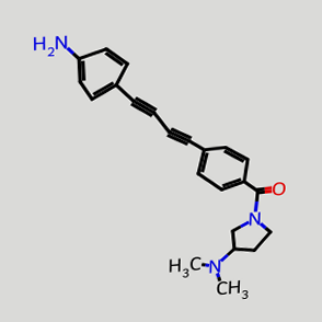 CN(C)C1CCN(C(=O)c2ccc(C#CC#Cc3ccc(N)cc3)cc2)C1